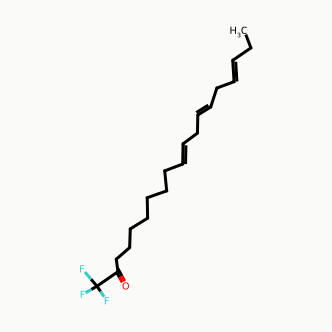 CCC=CCC=CCC=CCCCCCCCC(=O)C(F)(F)F